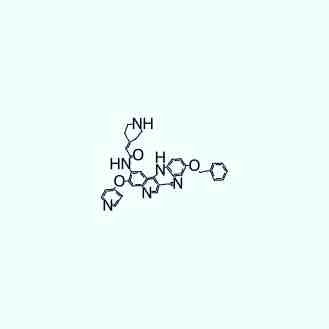 N#Cc1cnc2cc(Oc3ccncc3)c(NC(=O)C=C3CCNCC3)cc2c1Nc1ccc(OCc2ccccc2)cc1